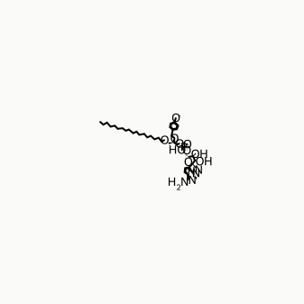 CCCCCCCCCCCCCCCCCCOC[C@H](COP(=O)(O)OC[C@H]1O[C@@](C#N)(c2ccc3c(N)ncnn23)[C@H](O)[C@@H]1O)OCc1ccc(OC)cc1